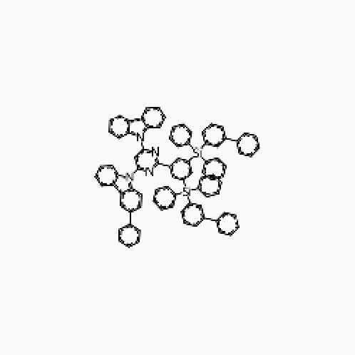 c1ccc(-c2cccc([Si](c3ccccc3)(c3ccccc3)c3cc(-c4nc(-n5c6ccccc6c6ccccc65)cc(-n5c6ccccc6c6cc(-c7ccccc7)ccc65)n4)cc([Si](c4ccccc4)(c4ccccc4)c4cccc(-c5ccccc5)c4)c3)c2)cc1